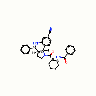 N#Cc1ccc2c(c1)N[C@@H](c1ccccc1)[C@H]1CCN(C(=O)[C@H]3CCCC[C@H]3NC(=O)c3ccccc3)[C@@H]21